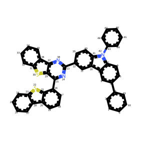 c1ccc(-c2ccc3c(c2)c2cc(-c4nc(-c5cccc6c5sc5ccccc56)c5sc6ccccc6c5n4)ccc2n3-c2ccccc2)cc1